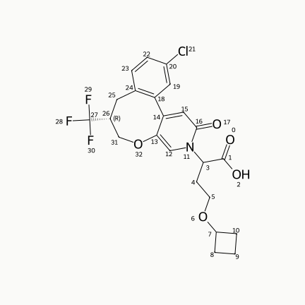 O=C(O)C(CCOC1CCC1)n1cc2c(cc1=O)-c1cc(Cl)ccc1C[C@@H](C(F)(F)F)CO2